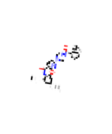 Cc1cc(C)c2c(c1)Oc1nc(N3CCN(C(=O)c4ccccc4C(F)(F)F)CC3)ccc1C(=O)N2